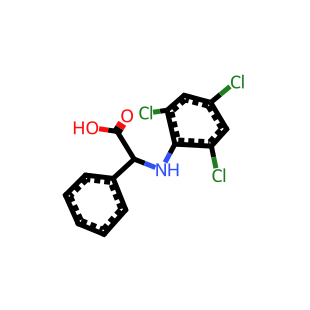 O=C(O)C(Nc1c(Cl)cc(Cl)cc1Cl)c1ccccc1